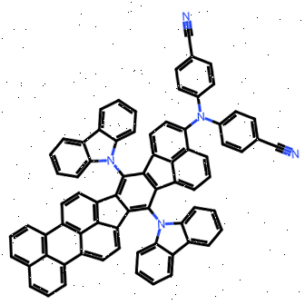 N#Cc1ccc(N(c2ccc(C#N)cc2)c2ccc3c4c(-n5c6ccccc6c6ccccc65)c5c6ccc7c8cccc9cccc(c%10ccc(c5c(-n5c%11ccccc%11c%11ccccc%115)c4c4cccc2c43)c6c%107)c98)cc1